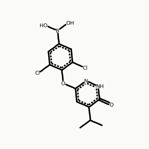 CC(C)c1cc(Oc2c(Cl)cc(B(O)O)cc2Cl)n[nH]c1=O